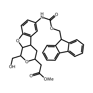 COC(=O)CC1CC2c3cc(NC(=O)OCC4c5ccccc5-c5ccccc54)ccc3OC2C(CO)O1